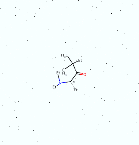 CC[C@@H](C(=O)C(C)(C)CC)N(CC)CC